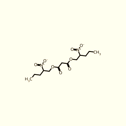 CCCC(COC(=O)CC(=O)OCC(CCC)[N+](=O)[O-])[N+](=O)[O-]